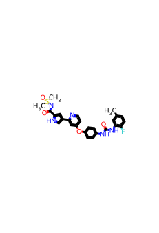 Cc1ccc(F)c(NC(=O)Nc2ccc(Oc3ccnc(-c4c[nH]c(C(=O)N=S(C)(C)=O)c4)c3)cc2)c1